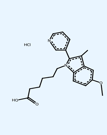 COc1ccc2c(c1)c(C)c(-c1cccnc1)n2CCCCCC(=O)O.Cl